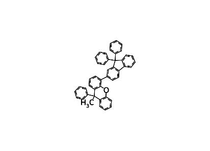 CC1(c2ccccc2)c2ccccc2Oc2c(-c3ccc4c(c3)C(c3ccccc3)(c3ccccc3)c3ccccc3-4)cccc21